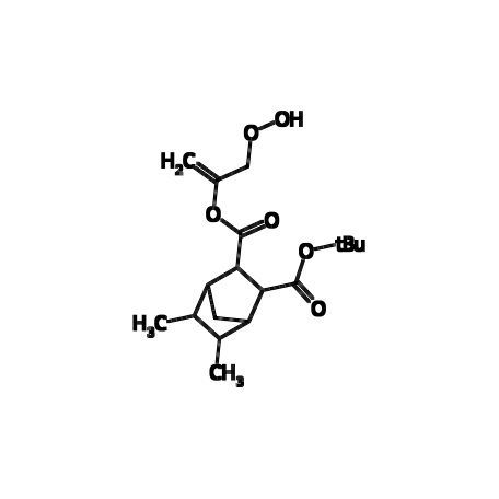 C=C(COO)OC(=O)C1C2CC(C(C)C2C)C1C(=O)OC(C)(C)C